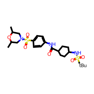 CC1CN(S(=O)(=O)c2ccc(NC(=O)C3CCC(NS(=O)(=O)C(C)(C)C)CC3)cc2)CC(C)O1